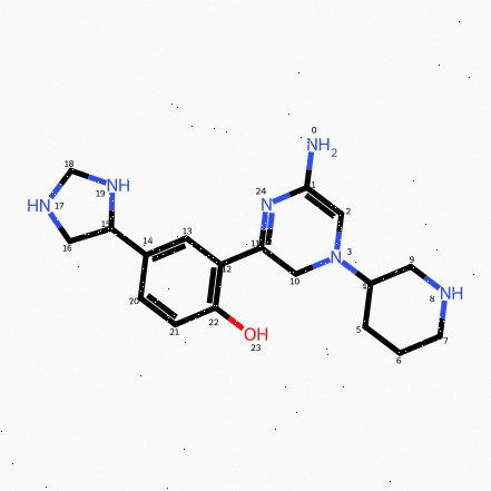 NC1=CN(C2CCCNC2)CC(c2cc(C3CNCN3)ccc2O)=N1